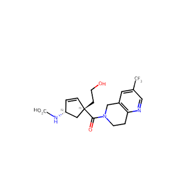 O=C(O)N[C@@H]1C=C[C@](CCO)(C(=O)N2CCc3ncc(C(F)(F)F)cc3C2)C1